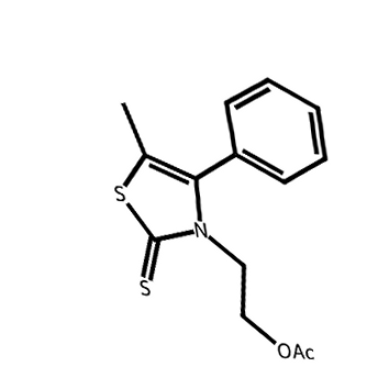 CC(=O)OCCn1c(-c2ccccc2)c(C)sc1=S